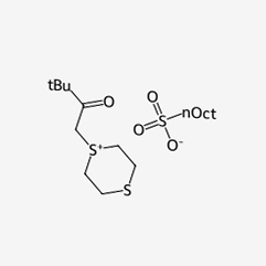 CC(C)(C)C(=O)C[S+]1CCSCC1.CCCCCCCCS(=O)(=O)[O-]